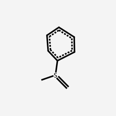 C=S(C)c1ccccc1